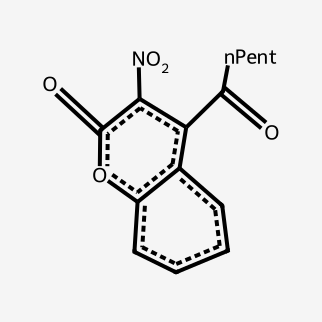 CCCCCC(=O)c1c([N+](=O)[O-])c(=O)oc2ccccc12